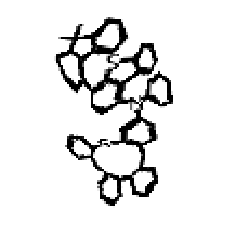 CC1(C)c2ccccc2-c2c(-c3ccc(N(c4ccccc4)c4ccc5c(c4)Sc4ccccc4Cc4ccccc4-c4ccccc4C5)c4c3sc3ccccc34)cccc21